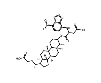 C[C@H](CCC(=O)O)C1CC[C@H]2[C@@H]3CC[C@@H]4[C@@H](F)[C@H](OC(=O)[C@H](CC(=O)O)Nc5ccc([N+](=O)[O-])c6nonc56)CC[C@]4(C)[C@H]3CC[C@]12C